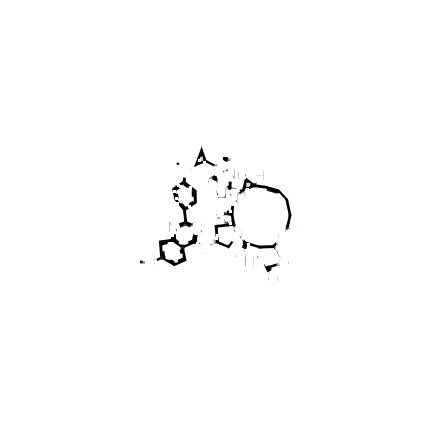 COc1ccc(-c2nc(O[C@@H]3C[C@H]4C(=O)N[C@]5(C(=O)NS(=O)(=O)C6CC6)C[C@H]5C=CCC[C@H](C)C[C@@H](C)[C@H](NC(=O)O)C(=O)N4C3)c3ccc(OC)cc3n2)cc1